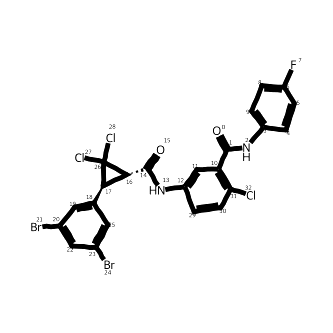 O=C(Nc1ccc(F)cc1)c1cc(NC(=O)[C@@H]2[C@@H](c3cc(Br)cc(Br)c3)C2(Cl)Cl)ccc1Cl